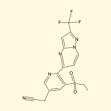 CCS(=O)(=O)c1cc(CC#N)cnc1-c1ccn2nc(C(F)(F)F)cc2n1